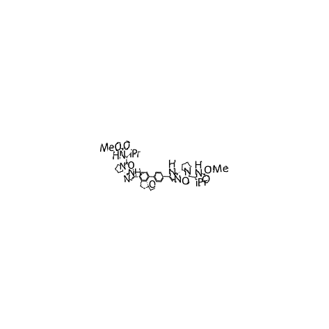 COC(=O)N[C@H](C(=O)N1CCC[C@H]1c1ncc(-c2ccc(-c3ccc(-c4cnc([C@@H]5CCCN5C(=O)[C@@H](NC(=O)OC)C(C)C)[nH]4)c4c3C3(CCO3)CC4)cc2)[nH]1)C(C)C